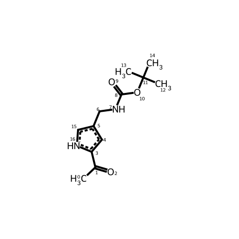 CC(=O)c1cc(CNC(=O)OC(C)(C)C)c[nH]1